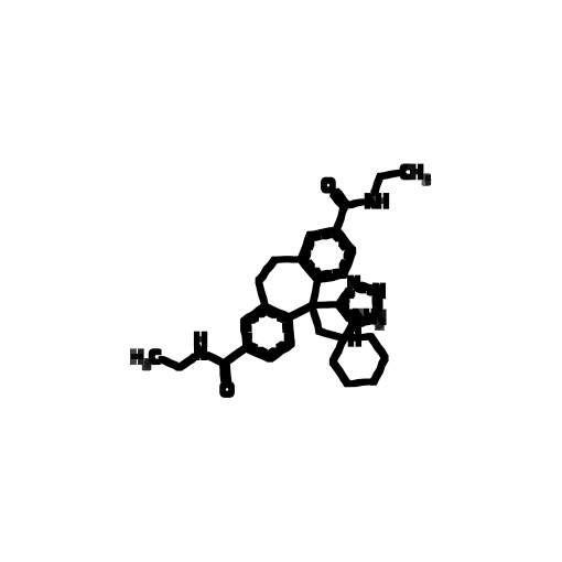 CCNC(=O)c1ccc2c(c1)CCc1cc(C(=O)NCC)ccc1C2(CC1(N)CCCCC1)c1nnn[nH]1